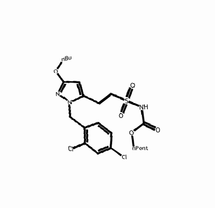 CCCCCOC(=O)NS(=O)(=O)CCc1cc(OCCCC)nn1Cc1ccc(Cl)cc1Cl